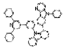 c1ccc(-c2cc(-c3cccc(-n4c5ccccc5c5cccc(-c6ccc7c8ncccc8n(-c8ccccc8)c7c6)c54)c3)cc(-c3ccccc3)n2)cc1